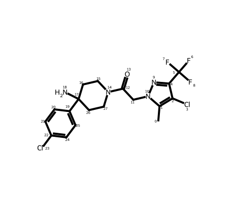 Cc1c(Cl)c(C(F)(F)F)nn1CC(=O)N1CCC(N)(c2ccc(Cl)cc2)CC1